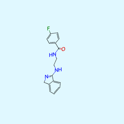 O=C(NCCNC1=NCc2ccccc21)c1ccc(F)cc1